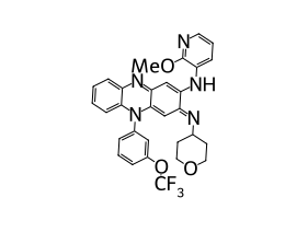 COc1ncccc1Nc1cc2nc3ccccc3n(-c3cccc(OC(F)(F)F)c3)c-2c/c1=N\C1CCOCC1